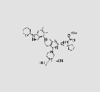 Cc1cc2c(cnn2C2CCCCO2)c(N2CCc3c(nc(OCC4(NC(=O)OC(C)(C)C)CCCC4)nc3N3CCN(C(=O)O)[C@@H](CC#N)C3)C2)c1C